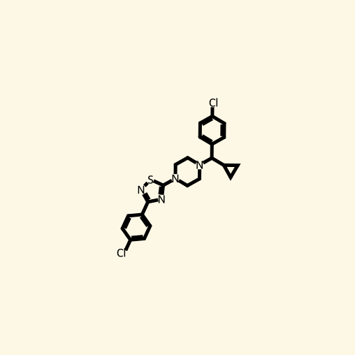 Clc1ccc(-c2nsc(N3CCN(C(c4ccc(Cl)cc4)C4CC4)CC3)n2)cc1